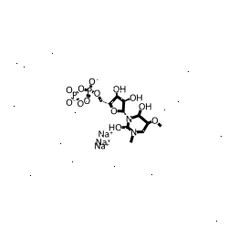 COC1CN(C)C(O)N([C@@H]2O[C@H](COP(=O)([O-])OP(=O)([O-])[O-])[C@@H](O)[C@H]2O)C1O.[Na+].[Na+].[Na+]